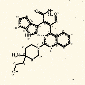 NC(=O)/C(=C(\C=O)c1nc(N2CCC(N)(CCO)CC2)nc2ccccc12)c1c[nH]c2sccc12